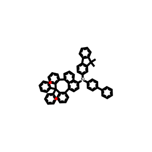 CC1(C)c2ccccc2-c2ccc(N(c3ccc(-c4ccccc4)cc3)c3ccc4c5c(cccc35)-c3ccccc3C(c3ccccc3)(c3ccccc3)c3ccccc3-4)cc21